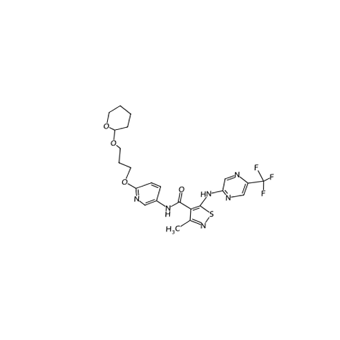 Cc1nsc(Nc2cnc(C(F)(F)F)cn2)c1C(=O)Nc1ccc(OCCCOC2CCCCO2)nc1